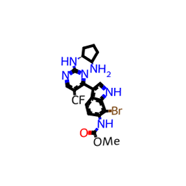 COC(=O)Nc1ccc2c(-c3nc(N[C@@H]4CCC[C@@H]4N)ncc3C(F)(F)F)c[nH]c2c1Br